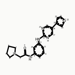 O=C(CN1CCCC1)Nc1cccc(Nc2ncc(-c3ccsc3)cn2)c1